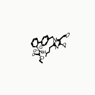 CCCCc1nc(OC)c(C=O)n1Cc1ccc(-c2ccccc2S(=O)(=O)NC(=O)OCC)cc1